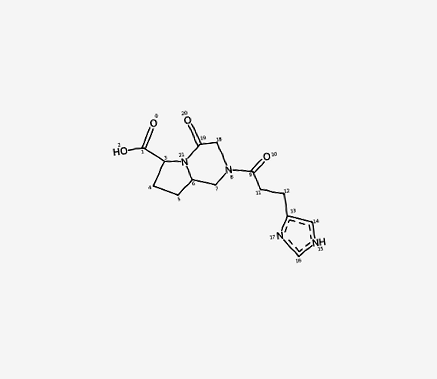 O=C(O)C1CCC2CN(C(=O)CCc3c[nH]cn3)CC(=O)N21